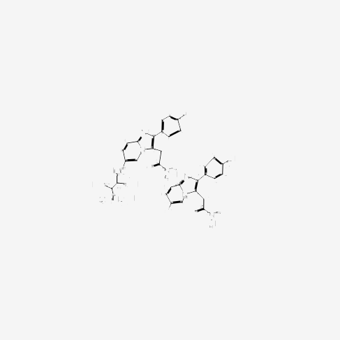 Cc1ccc(-c2nc3ccc(C)cn3c2CC(=O)N(C)C)cc1.Cc1ccc(-c2nc3ccc(C)cn3c2CC(=O)N(C)C)cc1.O=C(O)C(O)C(O)C(=O)O.[MgH2]